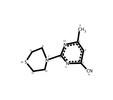 Cc1cc(C#N)nc(N2CCSCC2)n1